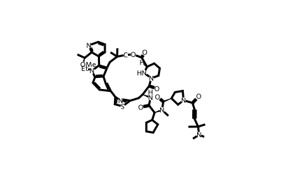 CCn1c(-c2cccnc2[C@H](C)OC)c2c3cc(ccc31)-c1csc(n1)C[C@H](NC(=O)[C@H](C1CCCC1)N(C)C(=O)[C@H]1CCN(C(=O)C#CC(C)(C)N(C)C)C1)C(=O)N1CCC[C@H](N1)C(=O)OCC(C)(C)C2